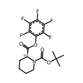 CC(C)(C)OC(=O)N1CCCC[C@H]1C(=O)Oc1c(F)c(F)c(F)c(F)c1F